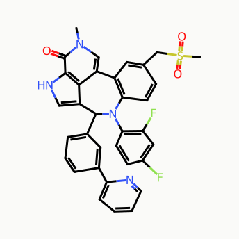 Cn1cc2c3c(c[nH]c3c1=O)C(c1cccc(-c3ccccn3)c1)N(c1ccc(F)cc1F)c1ccc(CS(C)(=O)=O)cc1-2